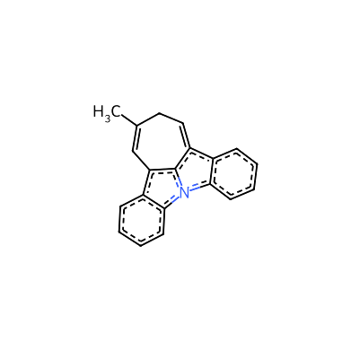 CC1=Cc2c3ccccc3n3c2c(c2ccccc23)=CC1